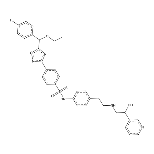 CCOC(c1ccc(F)cc1)c1nc(-c2ccc(S(=O)(=O)Nc3ccc(CCNCC(O)c4cccnc4)cc3)cc2)no1